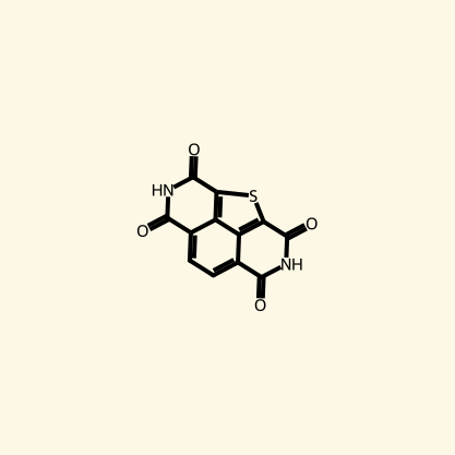 O=C1NC(=O)c2sc3c4c(ccc1c24)C(=O)NC3=O